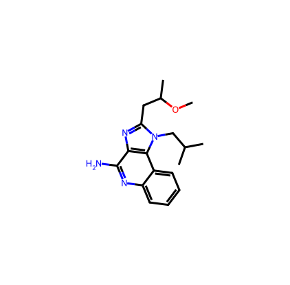 COC(C)Cc1nc2c(N)nc3ccccc3c2n1CC(C)C